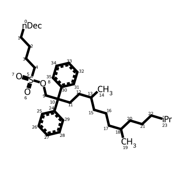 CCCCCCCCCCCCCCS(=O)(=O)OCC(CCC(C)CCCC(C)CCCC(C)C)(c1ccccc1)c1ccccc1